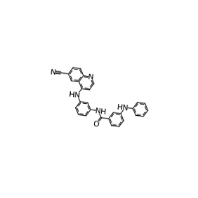 N#Cc1ccc2nccc(Nc3cccc(NC(=O)c4cccc(Nc5ccccc5)c4)c3)c2c1